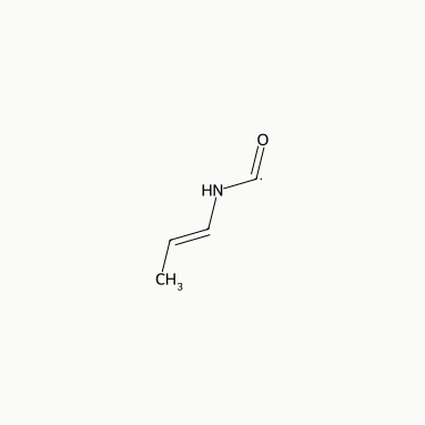 CC=CN[C]=O